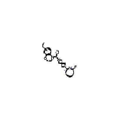 CC[C@H]1C=CC2=C(C1)OCCN2C(=O)N1CC2(C1)CN(C1=C/C=CCC/C(F)=N\1)C2